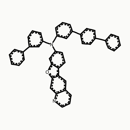 c1ccc(-c2ccc(-c3cccc(N(c4cccc(-c5ccccc5)c4)c4ccc5c(c4)oc4cc6ncccc6cc45)c3)cc2)cc1